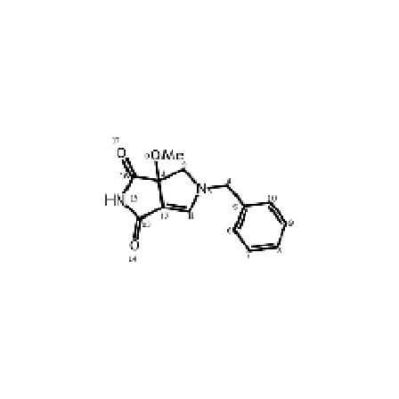 COC12CN(Cc3ccccc3)C=C1C(=O)NC2=O